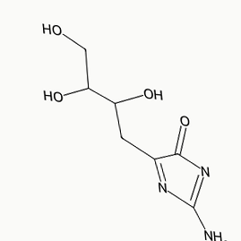 NC1=NC(=O)C(CC(O)C(O)CO)=N1